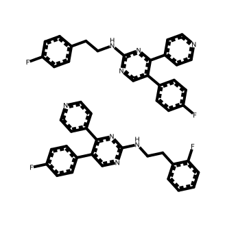 Fc1ccc(-c2cnc(NCCc3ccccc3F)nc2-c2ccncc2)cc1.Fc1ccc(CCNc2ncc(-c3ccc(F)cc3)c(-c3ccncc3)n2)cc1